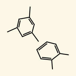 Cc1cc(C)cc(C)c1.Cc1ccccc1C